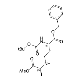 COC(=O)[C@H](C)NCC[C@H](NC(=O)OC(C)(C)C)C(=O)OCc1ccccc1